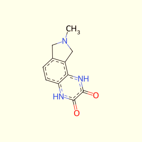 CN1Cc2ccc3[nH]c(=O)c(=O)[nH]c3c2C1